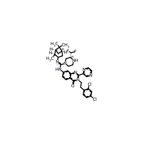 C[C@@H]1C(/N=C(/Nc2ccc3c(=O)n(CCc4ccc(Cl)cc4Cl)c(-c4cnccn4)nc3c2)N2CCN[C@@H](C(F)F)C2)C[C@H]2C[C@@H]1C2(C)C